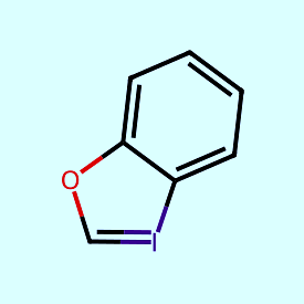 C1=Ic2ccccc2O1